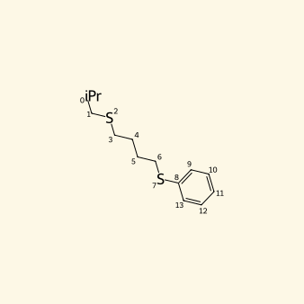 CC(C)CSCCCCSc1ccccc1